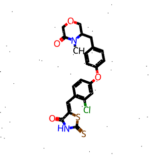 CN1C(=O)COCC1Cc1ccc(Oc2ccc(/C=C3\SC(=S)NC3=O)c(Cl)c2)cc1